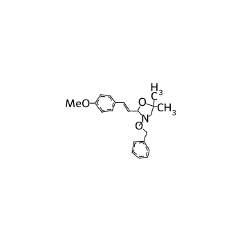 COc1ccc(C=CC2OC(C)(C)CN2OCc2ccccc2)cc1